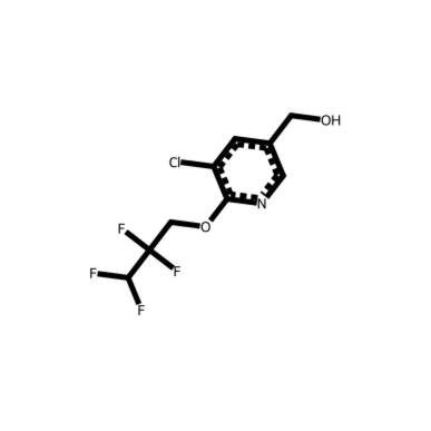 OCc1cnc(OCC(F)(F)C(F)F)c(Cl)c1